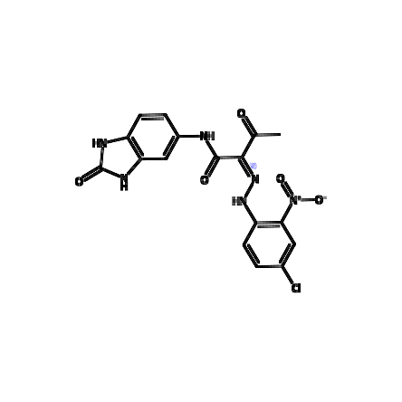 CC(=O)/C(=N/Nc1ccc(Cl)cc1[N+](=O)[O-])C(=O)Nc1ccc2[nH]c(=O)[nH]c2c1